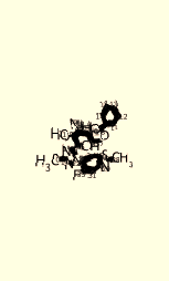 Cc1nc([C@@H]2O[C@@H]3COC(c4ccccc4)O[C@@H]3[C@H](N)[C@H]2O)n(-c2cc3sc(C)nc3cc2F)n1